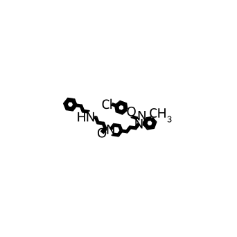 Cc1cccc2c1nc(COc1ccc(Cl)cc1)n2CCCC1CCN(C(=O)CCCNCCCc2ccccc2)CC1